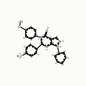 CCOc1ccc(-n2c(-c3ccc(C)cc3)nc3c(cnn3-c3ccccc3)c2=O)cc1